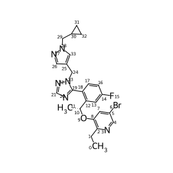 CCc1ncc(Br)cc1O[C@H](C)c1cc(F)ccc1-c1ncnn1Cc1cnn(CC2CC2)c1